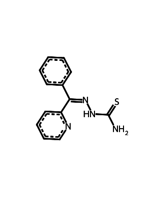 NC(=S)NN=C(c1ccccc1)c1ccccn1